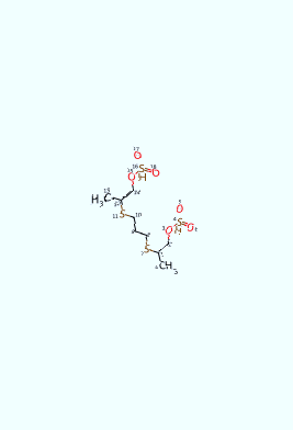 CC(CO[SH](=O)=O)SCCCSC(C)CO[SH](=O)=O